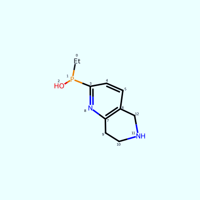 CCP(O)c1ccc2c(n1)CCNC2